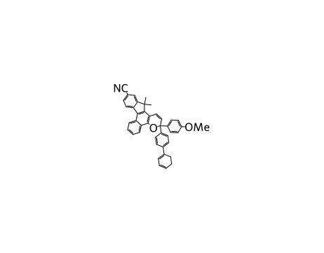 COc1ccc(C2(c3ccc(C4=CC=CCC4)cc3)C=Cc3c4c(c5ccccc5c3O2)-c2ccc(C#N)cc2C4(C)C)cc1